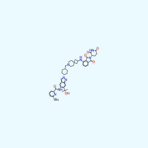 CC(C)(C)c1cccc(C(=O)Nc2cc3cn([C@H]4CC[C@H](CN5CCC6(CC5)CC(Nc5cccc7c5C(=O)N(C5CCC(=O)NC5=O)C7=O)C6)CC4)nc3cc2C(C)(C)O)n1